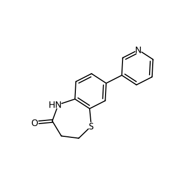 O=C1CCSc2cc(-c3cccnc3)ccc2N1